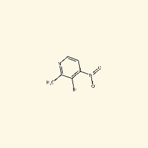 Cc1nccc([N+](=O)[O-])c1Br